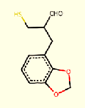 O=[C]C(CS)Cc1cccc2c1OCO2